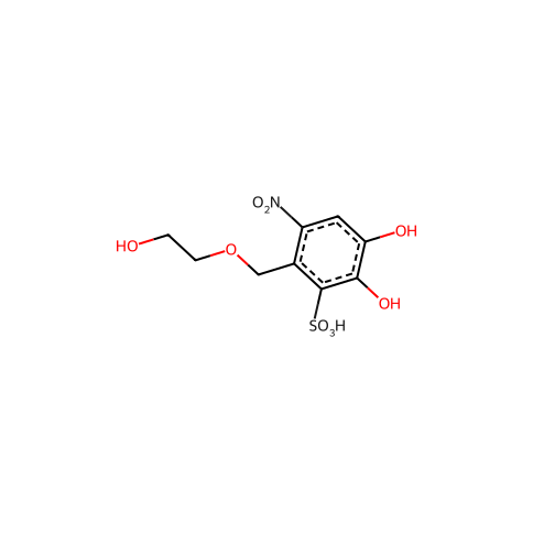 O=[N+]([O-])c1cc(O)c(O)c(S(=O)(=O)O)c1COCCO